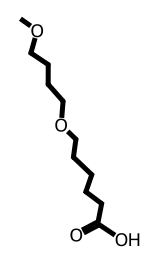 COCCCCOCCCCCC(=O)O